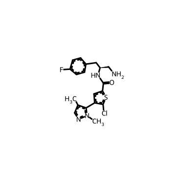 Cc1cnn(C)c1-c1cc(C(=O)N[C@H](CN)Cc2ccc(F)cc2)sc1Cl